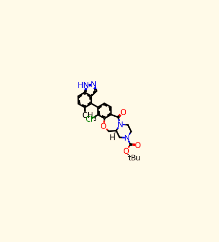 Cc1ccc2[nH]ncc2c1-c1ccc2c(c1Cl)OC[C@@H]1CN(C(=O)OC(C)(C)C)CCN1C2=O